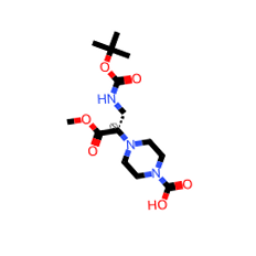 COC(=O)[C@H](CNC(=O)OC(C)(C)C)N1CCN(C(=O)O)CC1